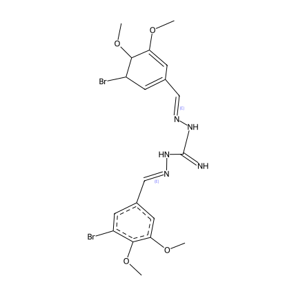 COC1=CC(/C=N/NC(=N)N/N=C/c2cc(Br)c(OC)c(OC)c2)=CC(Br)C1OC